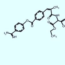 CCOC(=O)C(NC(=O)C(C)=Cc1ccc(C(=O)Oc2ccc(C(=N)N)cc2)cc1)C(=O)OCC